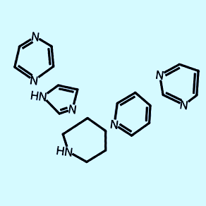 C1CCNCC1.c1c[nH]cn1.c1ccncc1.c1cnccn1.c1cncnc1